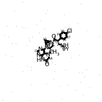 CC(C)NC[C@@H](C(=O)N1CCN(c2ncnc3c2N(C)CC(=O)N3)[C@H]2C[C@H]21)c1ccc(Cl)cc1